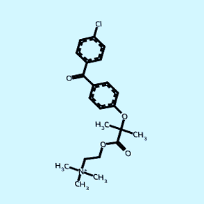 CC(C)(Oc1ccc(C(=O)c2ccc(Cl)cc2)cc1)C(=O)OCC[N+](C)(C)C